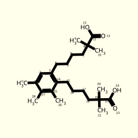 Cc1cc(CCCCC(C)(C)C(=O)O)c(CCCCC(C)(C)C(=O)O)c(C)c1C